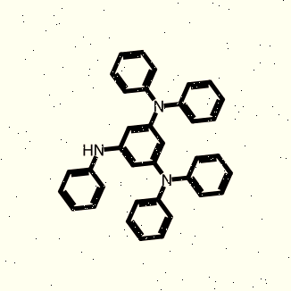 c1ccc(Nc2cc(N(c3ccccc3)c3ccccc3)cc(N(c3ccccc3)c3ccccc3)c2)cc1